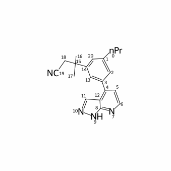 CCCc1cc(-c2ccnc3[nH]ncc23)cc(C(C)(C)CC#N)c1